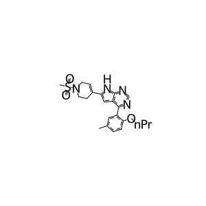 CCCOc1ccc(C)cc1-c1ncnc2[nH]c(C3=CCN(S(C)(=O)=O)CC3)cc12